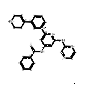 O=C(Nc1cc(Nc2cnccn2)nc(-c2cccc(C3=CCNCC3)c2)c1)c1ccccc1